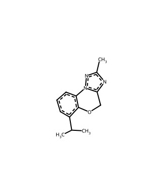 Cc1nc2n(n1)-c1cccc(C(C)C)c1OC2